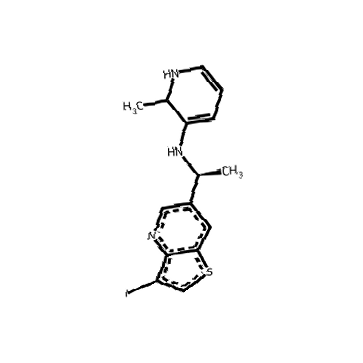 CC1NC=CC=C1N[C@@H](C)c1cnc2c(I)csc2c1